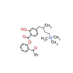 CC(CC[N+](C)(C)C)Cc1ccc(C(=O)Oc2ccccc2C(=O)C(C)C)c(O)c1